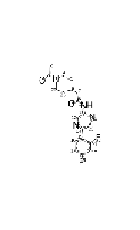 CC(=O)N1CCC(CC(=O)Nc2cnc(-c3ccc(F)cc3F)cn2)CC1